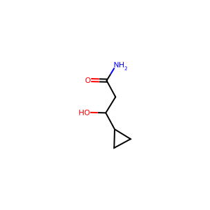 NC(=O)CC(O)C1CC1